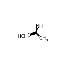 CC([NH])=O.Cl